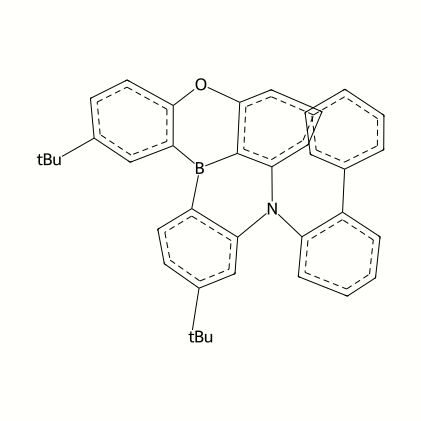 CC(C)(C)c1ccc2c(c1)B1c3ccc(C(C)(C)C)cc3N(c3ccccc3-c3ccccc3)c3cccc(c31)O2